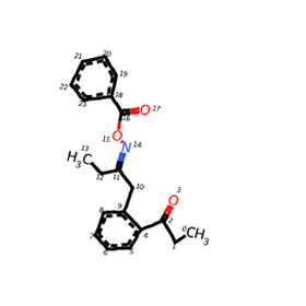 CCC(=O)c1ccccc1CC(CC)=NOC(=O)c1ccccc1